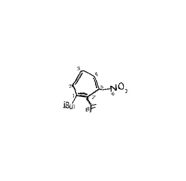 CCC(C)c1cccc([N+](=O)[O-])c1F